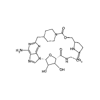 CCNC(=O)[C@H]1O[C@@H](n2cnc3c(N)nc(CC4CCN(C(=O)OCC5CCC(=O)N5)CC4)nc32)C(O)C1O